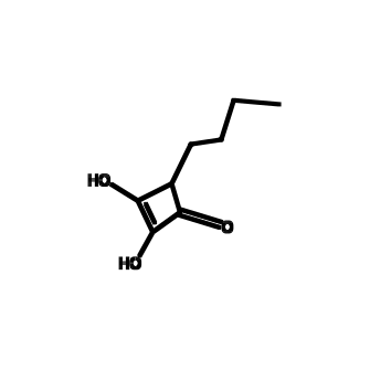 CCCCC1C(=O)C(O)=C1O